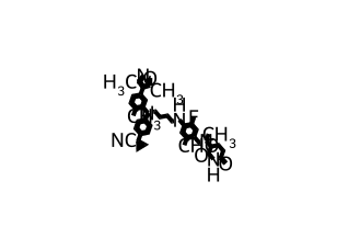 Cc1ccc(-c2c(C)noc2C)cc1N(CCCCNc1cc(C=O)c(CN(C)C2CCC(=O)NC2=O)cc1F)c1ccc(C2(C#N)CC2)cc1